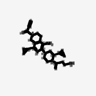 C#CC(=O)N1CCc2c(N)c(N3CCN(C(=C)CCO)[C@H](C4CC4)C3)nc(C3CC3)c2C1